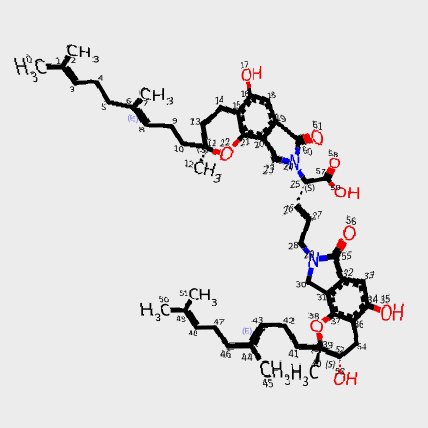 CC(C)=CCC/C(C)=C/CC[C@@]1(C)CCc2c(O)cc3c(c2O1)CN([C@@H](CCCN1Cc2c(cc(O)c4c2O[C@@](C)(CC/C=C(\C)CCC=C(C)C)[C@@H](O)C4)C1=O)C(=O)O)C3=O